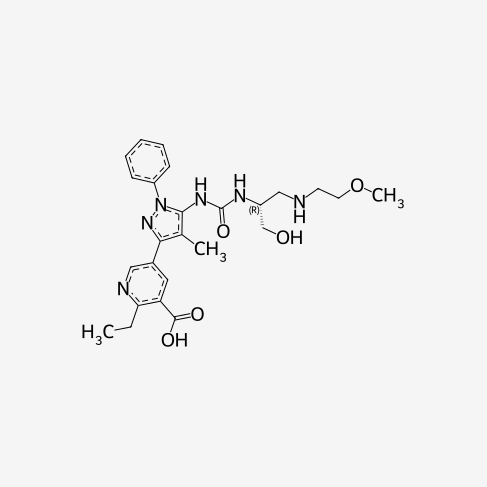 CCc1ncc(-c2nn(-c3ccccc3)c(NC(=O)N[C@@H](CO)CNCCOC)c2C)cc1C(=O)O